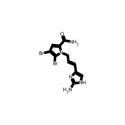 NC(=O)c1cc(Br)c(Br)n1CC=Cc1c[nH]c(N)n1